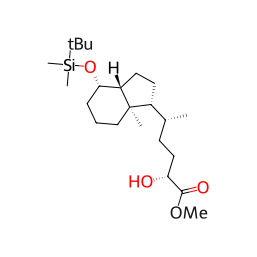 COC(=O)[C@H](O)CC[C@@H](C)[C@H]1CC[C@H]2[C@@H](O[Si](C)(C)C(C)(C)C)CCC[C@]12C